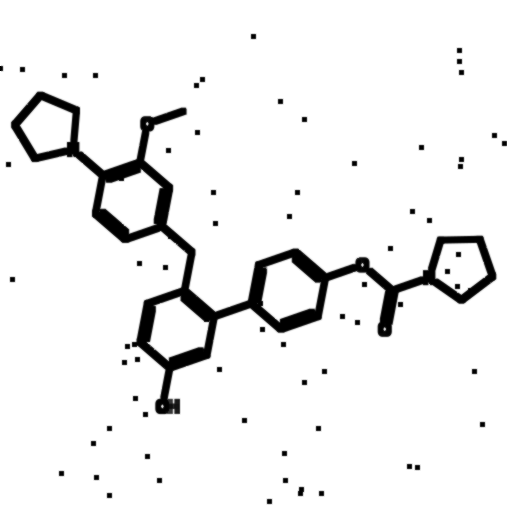 COc1cc(Cc2ccc(O)cc2-c2ccc(OC(=O)N3CCCC3)cc2)ccc1N1CCCC1